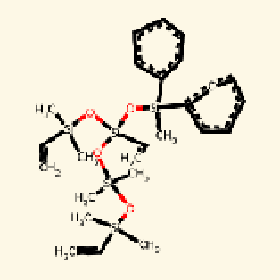 C=C[Si](C)(C)O[Si](C)(C)O[Si](C=C)(O[Si](C)(C)C=C)O[Si](C)(c1ccccc1)c1ccccc1